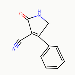 N#CC1=C(c2ccccc2)[C]NC1=O